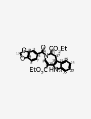 CCOC(=O)C1=CN(C(=O)c2ccc3c(c2)OCO3)C(C(=O)OCC)Cc2c1[nH]c1ccccc21